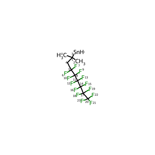 C[C](C)([SnH])CC(F)(F)C(F)(F)C(F)(F)C(F)(F)C(F)(F)C(F)(F)F